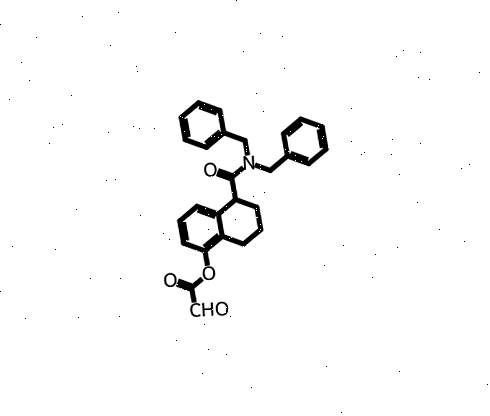 O=CC(=O)Oc1cccc2c1CCCC2C(=O)N(Cc1ccccc1)Cc1ccccc1